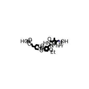 CCCc1c(/C=N/O)c(C)c2c(=O)[nH]c(-c3cc(S(=O)(=O)N4CCC(CCO[N+](=O)O)CC4)ccc3OCC)nn12